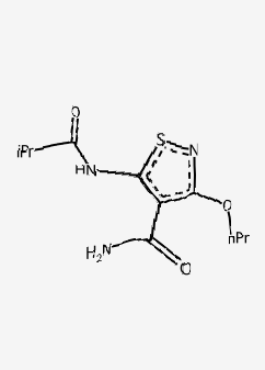 CCCOc1nsc(NC(=O)C(C)C)c1C(N)=O